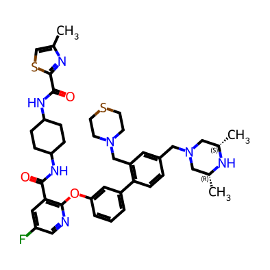 Cc1csc(C(=O)NC2CCC(NC(=O)c3cc(F)cnc3Oc3cccc(-c4ccc(CN5C[C@@H](C)N[C@@H](C)C5)cc4CN4CCSCC4)c3)CC2)n1